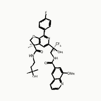 COc1cc(C(=O)NC[C@](O)(c2cc3c(c(-c4ccc(F)cc4)n2)OC[C@]3(C)C(=O)NCCC(C)(C)O)C(F)(F)F)cc2cccnc12